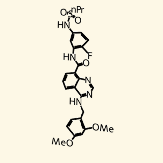 CCCS(=O)(=O)Nc1ccc(F)c(NC(=O)c2cccc3c(NCc4ccc(OC)cc4OC)ncnc23)c1